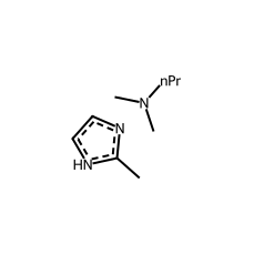 CCCN(C)C.Cc1ncc[nH]1